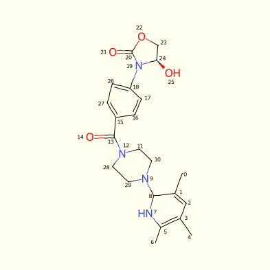 CC1=CC(C)=C(C)NC1N1CCN(C(=O)c2ccc(N3C(=O)OC[C@H]3O)cc2)CC1